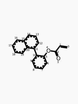 C=CC(=O)Oc1ccccc1-c1cccc2ccccc12